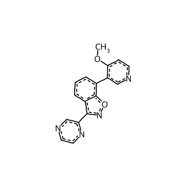 COc1ccncc1-c1cccc2c(-c3cnccn3)noc12